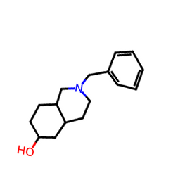 OC1CCC2CN(Cc3ccccc3)CCC2C1